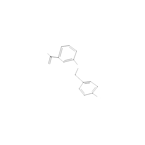 O=C(O)c1cccc(OCc2ccc(O)cc2)c1